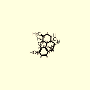 C=C1CC[C@@]2(O)[C@H]3Cc4ccc(O)c5c4[C@@]2(CCN3)[C@H]1O5